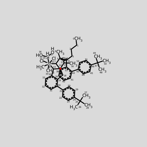 CCCCC1=C(C)[CH]([Zr]([CH3])([CH3])([Cl])([Cl])([CH]2C(C(C)C)=Cc3c(-c4ccc(C(C)(C)C)cc4)cccc32)[SiH](O)O)c2cccc(-c3ccc(C(C)(C)C)cc3)c21